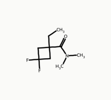 CCC1(C(=O)N(C)C)CC(F)(F)C1